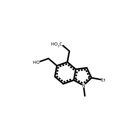 CCc1cc2c(CC(=O)O)c(CO)ccc2n1C